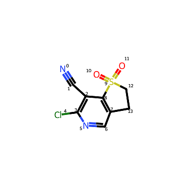 N#Cc1c(Cl)ncc2c1S(=O)(=O)CC2